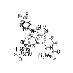 C[C@H](N)C(=O)N1CCC(c2ncnc3c2c2ccc(S(=O)(=O)NC4(C#N)CC4)cc2n3-c2nnc(C(F)F)s2)CC1